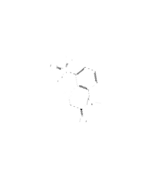 O=C1COc2c(cccc2S(=O)(=O)Cl)N1